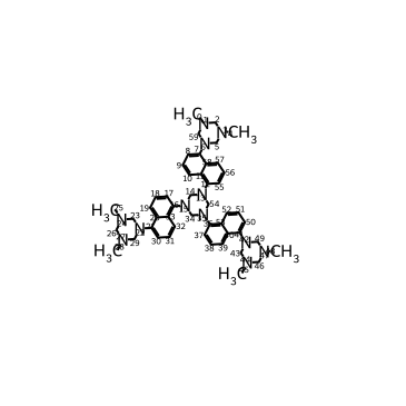 CN1CN(C)CN(c2cccc3c(N4CN(c5cccc6c(N7CN(C)CN(C)C7)cccc56)CN(c5cccc6c(N7CN(C)CN(C)C7)cccc56)C4)cccc23)C1